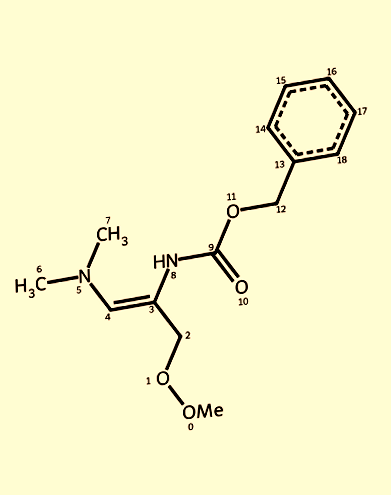 COOC/C(=C/N(C)C)NC(=O)OCc1ccccc1